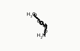 COCC#CCOc1ccc(N2C=CN(CCOCCN)C2)cc1